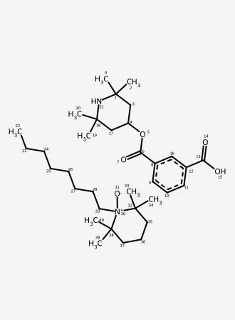 CC1(C)CC(OC(=O)c2cccc(C(=O)O)c2)CC(C)(C)N1.CCCCCCCC[N+]1([O])C(C)(C)CCCC1(C)C